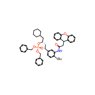 CC(C)(C)c1ccc(CC[C@@H](CC2CCCCC2)OP(=O)(OCc2ccccc2)OCc2ccccc2)cc1NC(=O)CC1c2ccccc2Oc2ccccc21